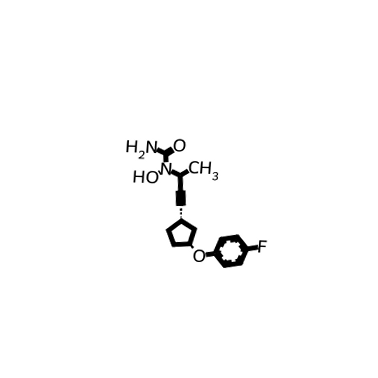 CC(C#C[C@H]1CC[C@@H](Oc2ccc(F)cc2)C1)N(O)C(N)=O